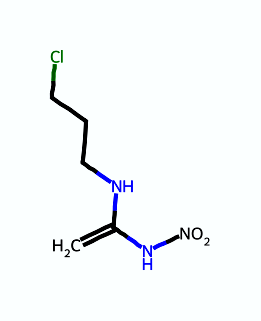 C=C(NCCCCl)N[N+](=O)[O-]